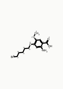 COc1cc(C(=O)O)c(N)cc1OCCCCCBr